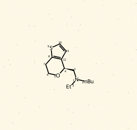 CCCCN(CC)C[C@H]1OCCc2sccc21